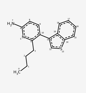 CCCCc1nc(N)ccc1-c1csc2ccccc12